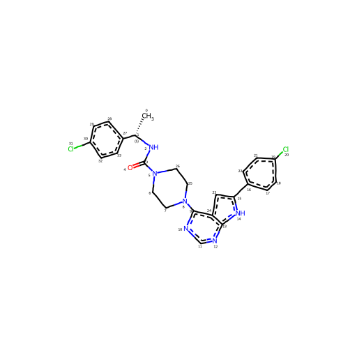 C[C@H](NC(=O)N1CCN(c2ncnc3[nH]c(-c4ccc(Cl)cc4)cc23)CC1)c1ccc(Cl)cc1